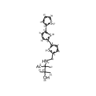 CC(=O)C(C)(NCc1ccc(-c2ccc(-c3cccs3)s2)s1)C(C)(C)O